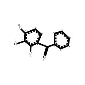 O=C(c1ccccc1)c1ccc(F)c(Cl)c1Cl